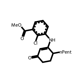 CCCCCC1CCC(=O)C=C1Nc1cccc(C(=O)OC)c1Cl